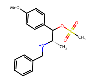 COc1ccc(C(OS(C)(=O)=O)[C@H](C)NCc2ccccc2)cc1